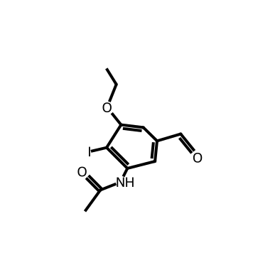 CCOc1cc(C=O)cc(NC(C)=O)c1I